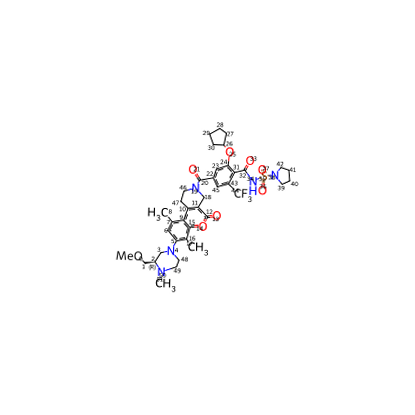 COC[C@H]1CN(c2cc(C)c3c4c(c(=O)oc3c2C)CN(C(=O)c2cc(OC3CCCC3)c(C(=O)NS(=O)(=O)N3CCCC3)c(C(F)(F)F)c2)CC4)CCN1C